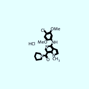 COc1cc(Nc2ncc(C(=O)N3CCCCC3)c3c2ccn3C)c(OC)cc1Cl.Cl